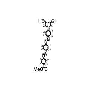 COC(=O)c1ccc(N=Nc2ccc(N=Nc3ccc(N(CCO)CCO)cc3)cc2)cc1